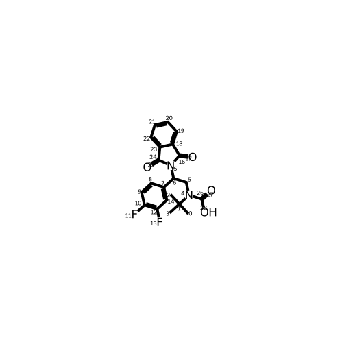 CC(C)(C)N(CC(c1ccc(F)c(F)c1)N1C(=O)c2ccccc2C1=O)C(=O)O